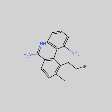 [CH2]c1ccc(C(=N)N)c(-c2ccccc2N)c1CCC(C)C